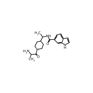 CC(N)C(=O)N1CCC(C(C)NC(=O)c2ccc3cc[nH]c3c2)CC1